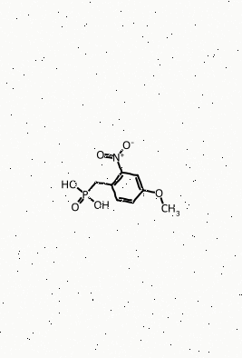 COc1ccc(CP(=O)(O)O)c([N+](=O)[O-])c1